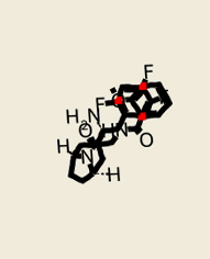 COc1ccccc1C(=O)NCC(=O)N1[C@@H]2CC[C@H]1CC([C@H](N)Cc1cc(F)c(F)cc1F)C2